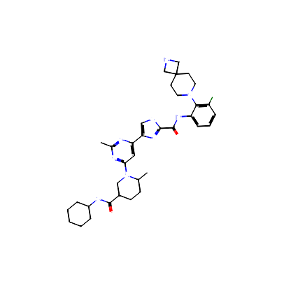 Cc1nc(-c2c[nH]c(C(=O)Nc3cccc(F)c3N3CCC4(CC3)CNC4)n2)cc(N2CC(C(=O)NC3CCCCC3)CCC2C)n1